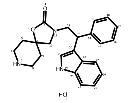 Cl.O=C1OC2(CCNCC2)CN1CC(c1ccccc1)c1c[nH]c2ccccc12